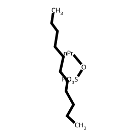 CCCCCCCCCCC.CCCOS(=O)(=O)O